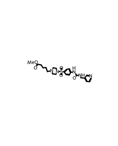 COC(=O)CCCCN1CCN(S(=O)(=O)c2ccc(NC(=O)NCc3cccnc3)cc2)CC1